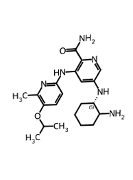 Cc1nc(Nc2cc(N[C@H]3CCCCC3N)cnc2C(N)=O)ccc1OC(C)C